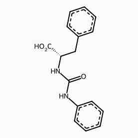 O=C(Nc1ccccc1)N[C@@H](Cc1ccccc1)C(=O)O